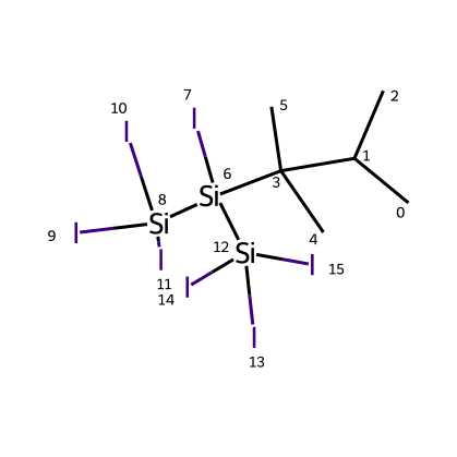 CC(C)C(C)(C)[Si](I)([Si](I)(I)I)[Si](I)(I)I